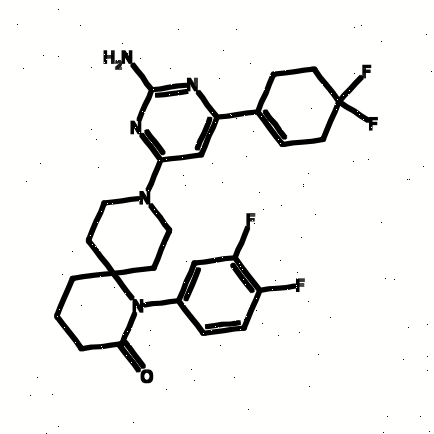 Nc1nc(C2=CCC(F)(F)CC2)cc(N2CCC3(CCCC(=O)N3c3ccc(F)c(F)c3)CC2)n1